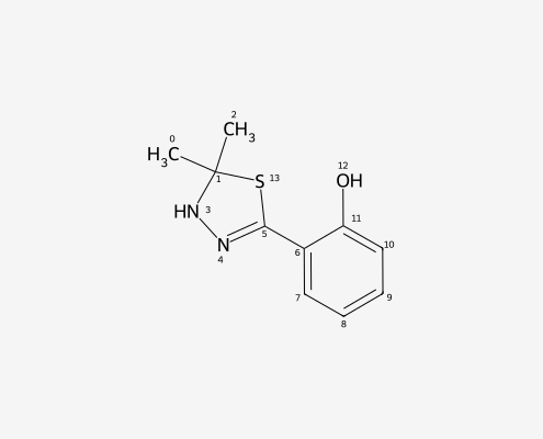 CC1(C)NN=C(c2ccccc2O)S1